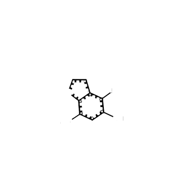 Cc1cc(O)c2occc2c1Br